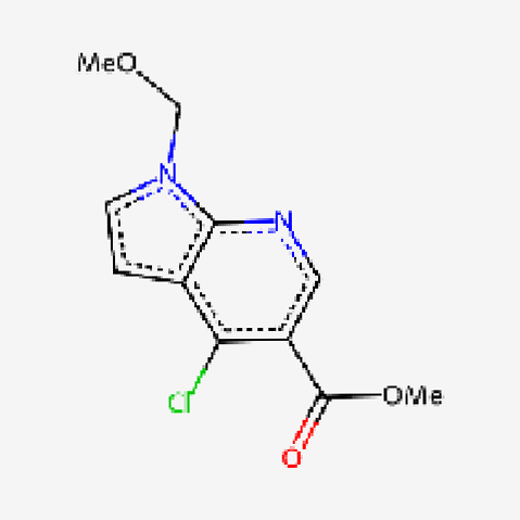 COCn1ccc2c(Cl)c(C(=O)OC)cnc21